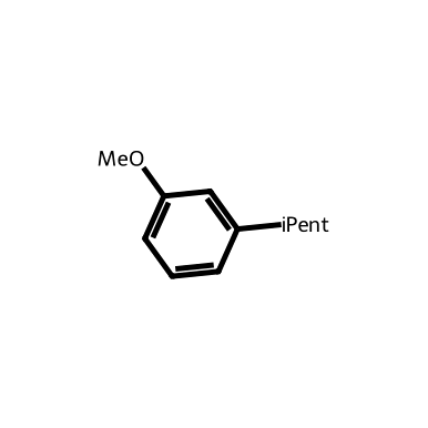 CC[CH]C(C)c1cccc(OC)c1